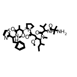 CCC(C)C(C(CC(=O)N1CCC[C@H]1C(OC)C(C)C(=O)NC(Cc1ccccc1)c1nccs1)OC)N(C)C(=O)C(NC(=O)C(C)(C)N)C(C)C